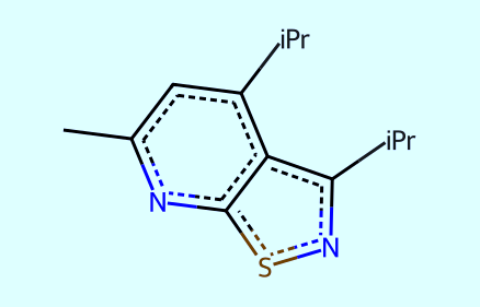 Cc1cc(C(C)C)c2c(C(C)C)nsc2n1